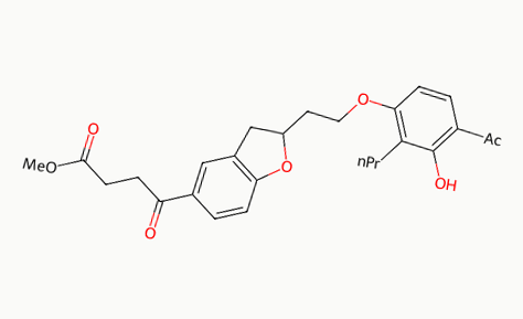 CCCc1c(OCCC2Cc3cc(C(=O)CCC(=O)OC)ccc3O2)ccc(C(C)=O)c1O